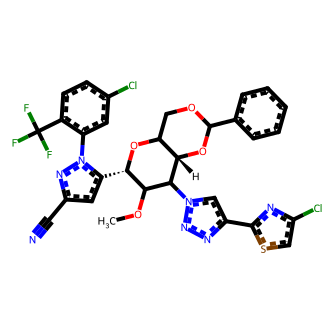 COC1C(n2cc(-c3nc(Cl)cs3)nn2)[C@H]2OC(c3ccccc3)OCC2O[C@H]1c1cc(C#N)nn1-c1cc(Cl)ccc1C(F)(F)F